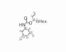 C=CC(CCCCCC)OC(=O)Nc1cc(C)cc(C)c1